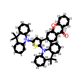 CC1(C)c2ccccc2N(c2cc(-c3ccc4c(=O)c5ccccc5oc4c3)c(N3c4ccccc4C(C)(C)c4ccccc43)s2)c2ccccc21